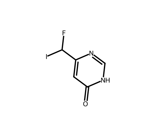 O=c1cc(C(F)I)nc[nH]1